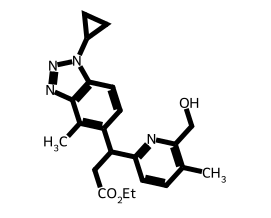 CCOC(=O)CC(c1ccc(C)c(CO)n1)c1ccc2c(nnn2C2CC2)c1C